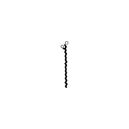 CCCCCCCCCCCCCCCCCCCCCC(C=O)CCCl